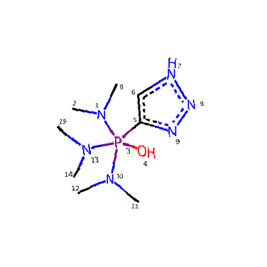 CN(C)P(O)(c1c[nH]nn1)(N(C)C)N(C)C